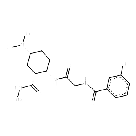 CCN(C(C)C)[C@@H]1CC[C@H](NC(=O)CNC(=O)c2cccc(C(F)(F)F)c2)[C@H](C(=O)NC(C)(C)C)C1